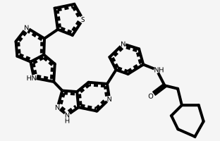 O=C(CC1CCCCC1)Nc1cncc(-c2cc3c(-c4cc5c(-c6ccsc6)nccc5[nH]4)n[nH]c3cn2)c1